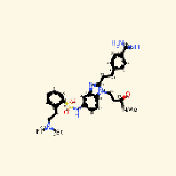 CCN(CC)CCc1ccccc1S(=O)(=O)Nc1ccc2c(c1)nc(CCc1ccc(C(=N)N)cc1)n2CCC(=O)NC